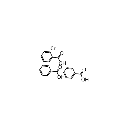 O=C(O)c1ccccc1.O=C(O)c1ccccc1.O=C(O)c1ccccc1.[Cr]